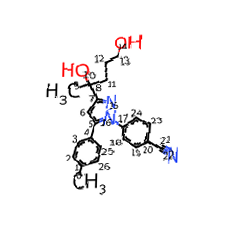 Cc1ccc(-c2cc(C(C)(O)CCCO)nn2-c2ccc(C#N)cc2)cc1